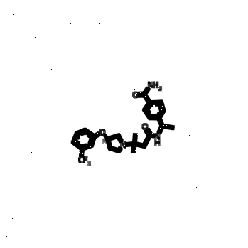 CC(NC(=O)CC(C)(C)N1CC[C@@H](Oc2cccc(C(F)(F)F)c2)C1)c1ccc(C(N)=O)cc1